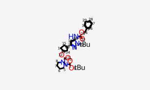 CC(C)(C)OC(=O)N1CCCCN1C(=O)O[C@@H]1CC[C@H](c2cc(NC(=O)OCc3ccccc3)n(C(C)(C)C)n2)C1